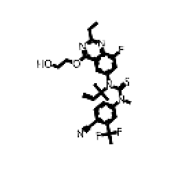 C=CC(C)(C)N(C(=S)N(C)c1ccc(C#N)c(C(C)(F)F)c1)c1cc(F)c2nc(CC)nc(OCCO)c2c1